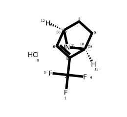 Cl.FC(F)(F)C1=C[C@H]2CC[C@@H]1N2